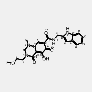 COCCN1CN(C)n2cc(C(=O)NCc3cc4ccccc4[nH]3)c(=O)c(O)c2C1=O